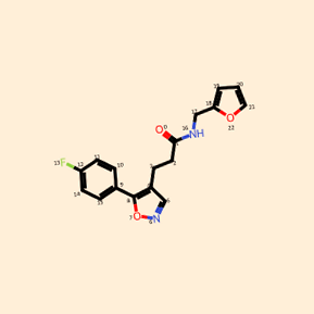 O=C(CCc1cnoc1-c1ccc(F)cc1)NCc1ccco1